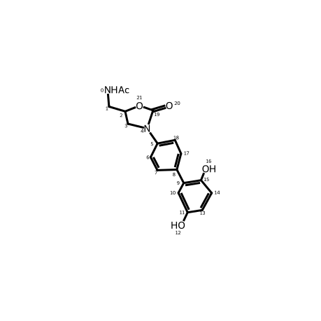 CC(=O)NCC1CN(c2ccc(-c3cc(O)ccc3O)cc2)C(=O)O1